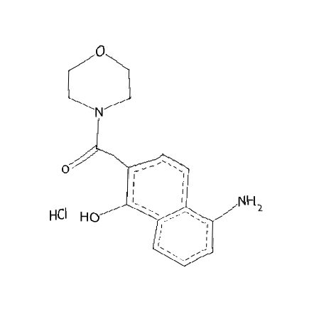 Cl.Nc1cccc2c(O)c(C(=O)N3CCOCC3)ccc12